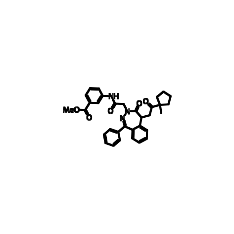 COC(=O)c1cccc(NC(=O)CN2N=C(c3ccccc3)c3ccccc3C(CC(=O)C3(C)CCCC3)C2=O)c1